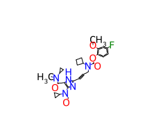 COc1cc(F)ccc1OC(=O)N(CC#Cc1nc(N(C=O)C2CC2)c(C(=O)N(C)C2CC2)[nH]1)C1CCC1